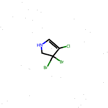 ClC1=CNCC1(Br)Br